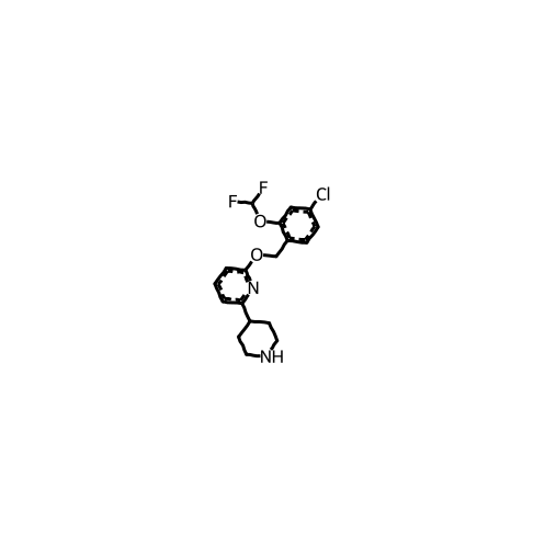 FC(F)Oc1cc(Cl)ccc1COc1cccc(C2CCNCC2)n1